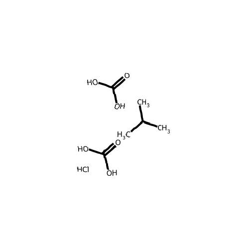 CC(C)C.Cl.O=C(O)O.O=C(O)O